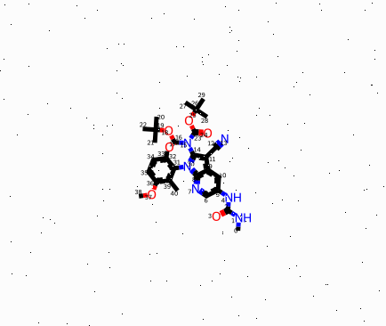 CNC(=O)Nc1cnc2c(c1)c(C#N)c(N(C(=O)OC(C)(C)C)C(=O)OC(C)(C)C)n2-c1c(C)ccc(OC)c1C